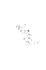 COc1ncnc(C2CC2)c1-c1ncc2ccc(=O)n(Cc3ccc(-c4nc(C(F)(F)F)cn4C4CCC4)cc3)c2n1